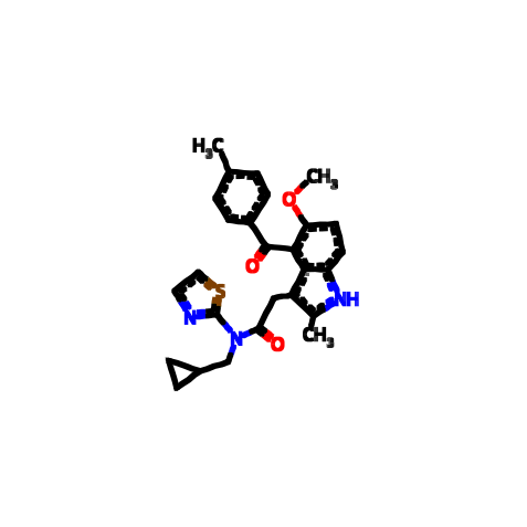 COc1ccc2[nH]c(C)c(CC(=O)N(CC3CC3)c3nccs3)c2c1C(=O)c1ccc(C)cc1